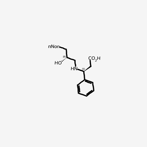 CCCCCCCCCC[C@@H](O)CN[C@@H](CC(=O)O)c1ccccc1